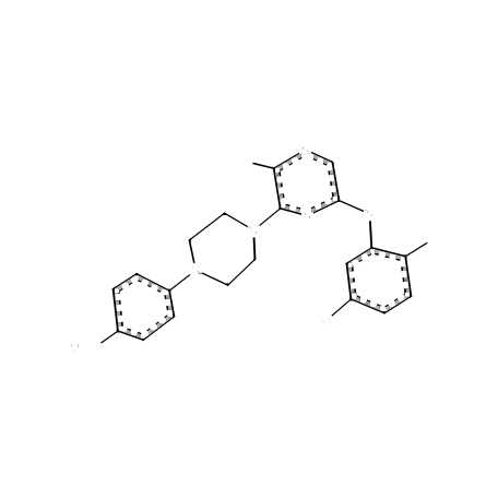 COc1ccc(N2CCN(c3nc(Nc4cc(C(C)(C)C)ccc4C)cnc3C)CC2)cc1